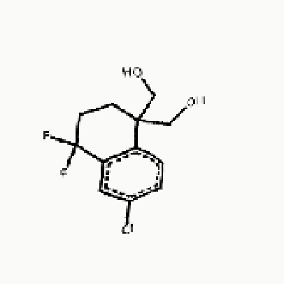 OCC1(CO)CCC(F)(F)c2cc(Cl)ccc21